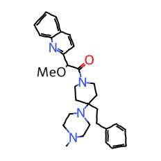 COC(C(=O)N1CCC(CCc2ccccc2)(N2CCN(C)CC2)CC1)c1ccc2ccccc2n1